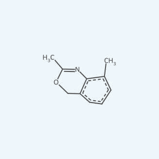 CC1=Nc2c(C)cccc2CO1